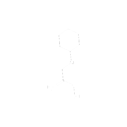 C=C(CNC1CCCCC1)OO